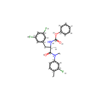 Cc1ccc(N(C)C(=O)[C@@](C)(Cc2cc(F)cc(F)c2)NC(=O)Oc2ccccc2)cc1F